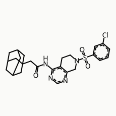 O=C(CC12CC3CC(CC(C3)C1)C2)Nc1ncnc2c1CCN(S(=O)(=O)c1cccc(Cl)c1)C2